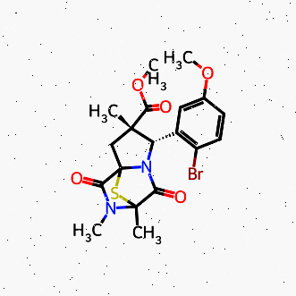 COC(=O)[C@@]1(C)CC23SC(C)(C(=O)N2[C@H]1c1cc(OC)ccc1Br)N(C)C3=O